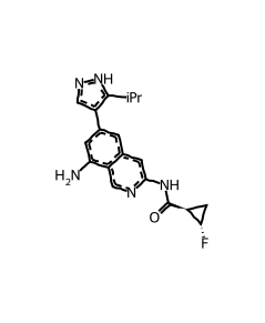 CC(C)c1[nH]ncc1-c1cc(N)c2cnc(NC(=O)[C@H]3C[C@@H]3F)cc2c1